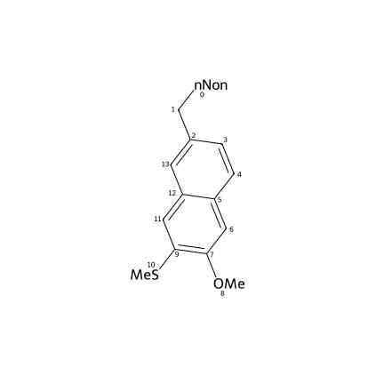 CCCCCCCCCCc1ccc2cc(OC)c(SC)cc2c1